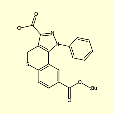 CC(C)(C)OC(=O)c1ccc2c(c1)-c1c(c(C(=O)Cl)nn1-c1ccccc1)CS2